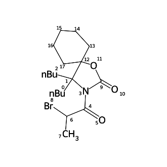 CCCCC1(CCCC)N(C(=O)C(C)Br)C(=O)OC12CCCCC2